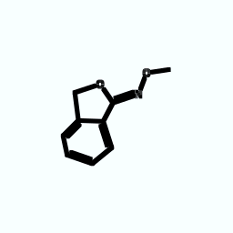 CON=C1OCc2ccccc21